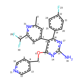 Cc1cc(-c2c(OCc3ccncc3)nc(N)nc2-c2ccc(F)cc2)cc(C(F)F)n1